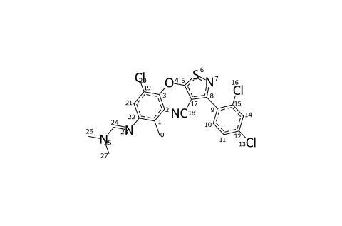 Cc1cc(Oc2snc(-c3ccc(Cl)cc3Cl)c2C#N)c(Cl)cc1N=CN(C)C